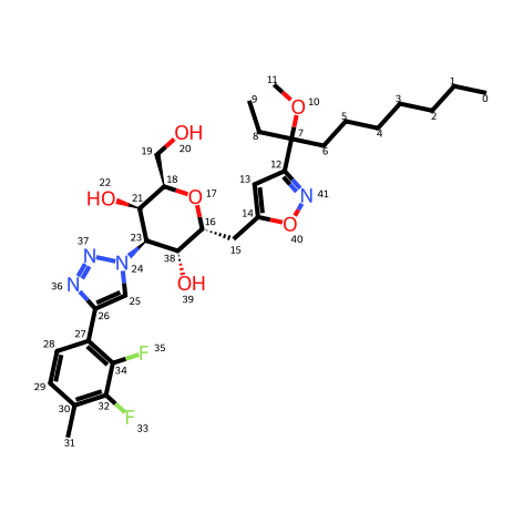 CCCCCCCC(CC)(OC)c1cc(C[C@H]2O[C@H](CO)[C@H](O)[C@H](n3cc(-c4ccc(C)c(F)c4F)nn3)[C@H]2O)on1